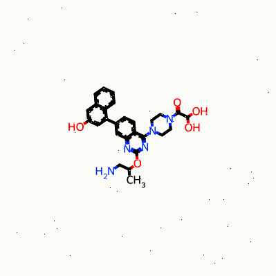 CC(CN)Oc1nc(N2CCN(C(=O)C(O)O)CC2)c2ccc(-c3cc(O)cc4ccccc34)cc2n1